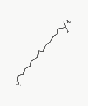 CCCCCCCCCC(F)CC[CH]CCCCCCCCCCC(F)(F)F